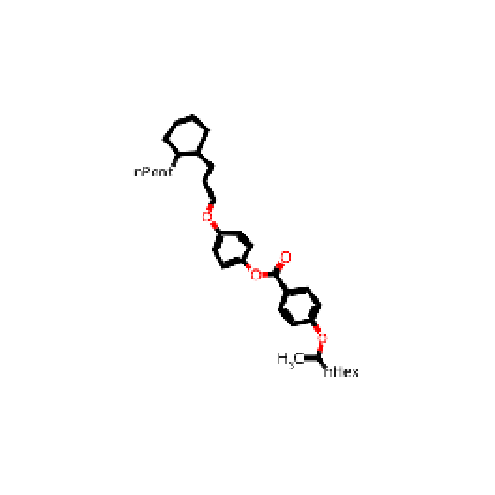 CCCCCCC(C)Oc1ccc(C(=O)Oc2ccc(OCCCC3CCCCC3CCCCC)cc2)cc1